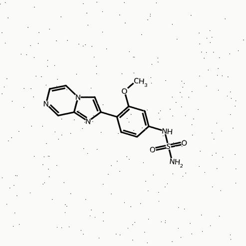 COc1cc(NS(N)(=O)=O)ccc1-c1cn2ccncc2n1